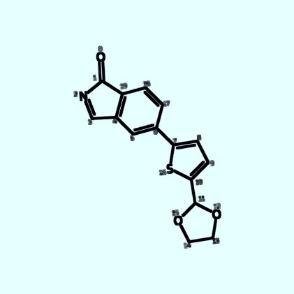 O=C1N=Cc2cc(-c3ccc(C4OCCO4)s3)ccc21